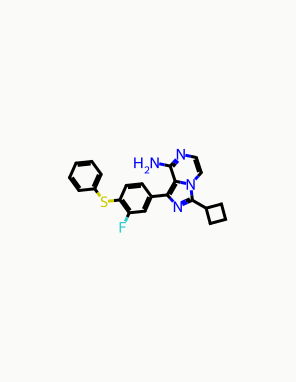 Nc1nccn2c(C3CCC3)nc(-c3ccc(Sc4ccccc4)c(F)c3)c12